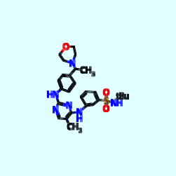 Cc1cnc(Nc2ccc(C(C)N3CCOCC3)cc2)nc1Nc1cccc(S(=O)(=O)NC(C)(C)C)c1